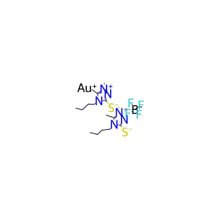 CCCCn1c([S-])n[n+](C)c1C.CCCCn1c([S-])n[n+](C)c1C.F[B-](F)(F)F.[Au+]